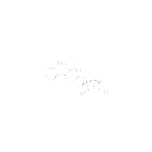 CC(C)c1nc2ccccc2c(=O)n1NC(=O)C[C@@H]1CC[C@H]2C[C@H]1C2(C)C